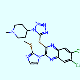 CSc1nccn1-c1nc2cc(Cl)c(Cl)cc2nc1Sc1nnnn1C1CCN(C)CC1